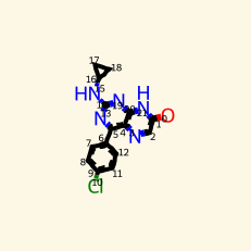 O=c1cnc2c(-c3ccc(Cl)cc3)nc(NC3CC3)nc2[nH]1